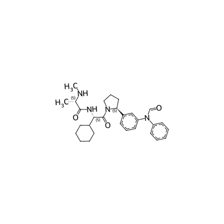 CN[C@@H](C)C(=O)N[C@H](C(=O)N1CCC[C@H]1c1cccc(N(C=O)c2ccccc2)c1)C1CCCCC1